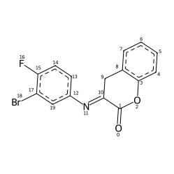 O=C1Oc2ccccc2CC1=Nc1ccc(F)c(Br)c1